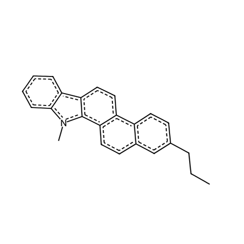 CCCc1ccc2c(ccc3c2ccc2c4ccccc4n(C)c32)c1